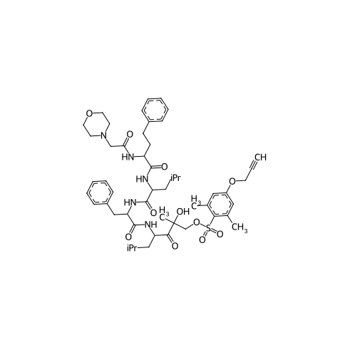 C#CCOc1cc(C)c(S(=O)(=O)OCC(C)(O)C(=O)C(CC(C)C)NC(=O)C(Cc2ccccc2)NC(=O)C(CC(C)C)NC(=O)C(CCc2ccccc2)NC(=O)CN2CCOCC2)c(C)c1